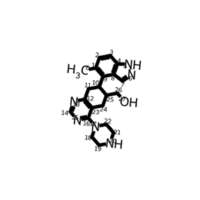 Cc1ccc2[nH]ncc2c1C1Cc2ncnc(N3CCNCC3)c2CC1CO